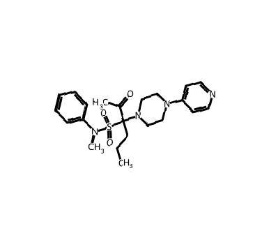 CCCC(C(C)=O)(N1CCN(c2ccncc2)CC1)S(=O)(=O)N(C)c1ccccc1